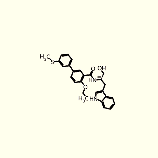 CCOc1ccc(-c2cccc(SC)c2)cc1C(=O)N[C@@H](CO)Cc1c[nH]c2ccccc12